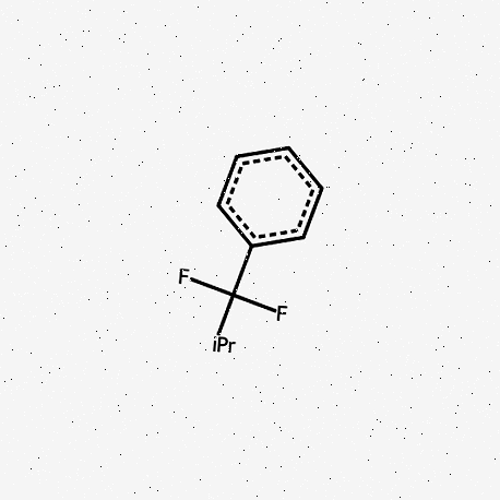 CC(C)C(F)(F)c1ccccc1